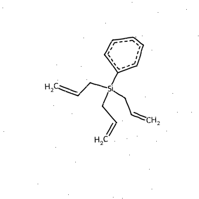 C=CC[Si](CC=C)(CC=C)c1cc[c]cc1